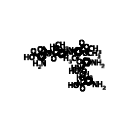 CC1(C)OC(=O)c2cc(N)ccc2O1.CCOc1ccc(N)cc1C(=O)NO.COc1cc(N)ccc1C(=O)NO.COc1ccc(N)cc1C(=O)NO.Nc1cc2c(c(C(=O)O)c1)OCC2